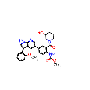 COC(=O)Nc1ccc(-c2cnc3[nH]cc(-c4ccccc4OC)c3c2)cc1C(=O)N1CCCC(O)C1